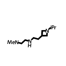 CNCCNCCC1CN(C(C)C)C1